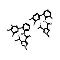 Cn1cc(C(=O)Nc2c(F)cccc2-c2ccc(F)c(F)c2)c(C(F)F)n1.Cn1cc(C(=O)Nc2ccccc2-c2cc(F)c(F)c(F)c2)c(C(F)Cl)n1